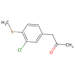 CSc1ccc(CC(C)=O)cc1Cl